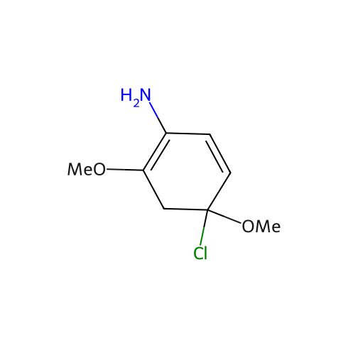 COC1=C(N)C=CC(Cl)(OC)C1